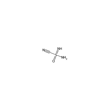 N#CS(=N)(N)=O